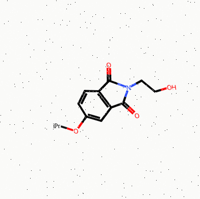 CC(C)Oc1ccc2c(c1)C(=O)N(CCO)C2=O